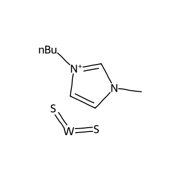 CCCC[n+]1ccn(C)c1.[S]=[W]=[S]